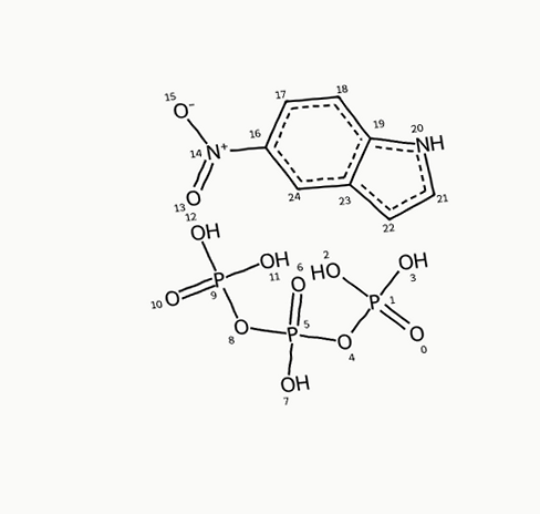 O=P(O)(O)OP(=O)(O)OP(=O)(O)O.O=[N+]([O-])c1ccc2[nH]ccc2c1